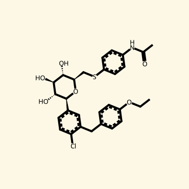 CCOc1ccc(Cc2cc([C@@H]3O[C@H](CSc4ccc(NC(C)=O)cc4)[C@@H](O)[C@H](O)[C@H]3O)ccc2Cl)cc1